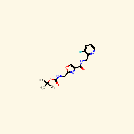 CC(C)(C)OC(=O)NCc1nc(C(=O)NCc2ncccc2F)co1